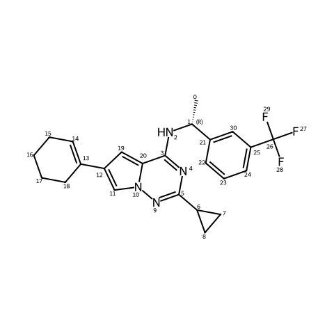 C[C@@H](Nc1nc(C2CC2)nn2cc(C3=CCCCC3)cc12)c1cccc(C(F)(F)F)c1